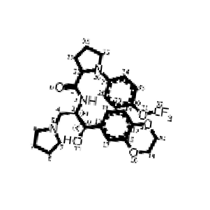 O=C(N[C@H](CN1CCCC1)[C@H](O)c1ccc2c(c1)OCCO2)C1CCCN1c1ccc(OC(F)(F)F)cc1